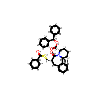 O=C(SC[C@H]1Cc2ccccc2[C@H]2CCC[C@@H](C(=O)OC(c3ccccc3)c3ccccc3)N2C1=O)c1ccccc1